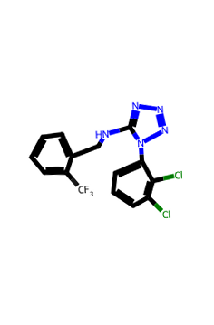 FC(F)(F)c1ccccc1CNc1nnnn1-c1cccc(Cl)c1Cl